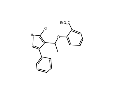 CCOC(=O)c1ccccc1OC(C)c1c(-c2ccccc2)n[nH]c1Cl